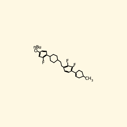 CCCCOc1ccc(C2CCC(CCc3ccc(C4=CCC(C)CC4)c(F)c3F)CC2)c(F)c1